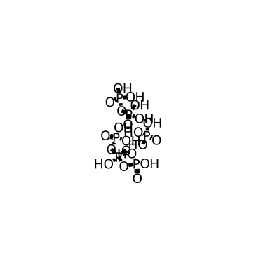 O=P(O)(O)O.O=P(O)(O)OP(=O)(O)O.O=P(O)(O)OP(=O)(O)OP(=O)(O)O